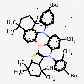 Cc1cc2c3c(c1)N(c1ccc(C(C)(C)C)cc1)c1c(ccc4c1C(C)(C)CCC4(C)C)B3C1=C(C3C(S1)C(C)(C)CCC3(C)C)N2c1ccc(C(C)(C)C)cc1C